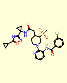 CS(=O)(=O)C1CN(c2ncccc2NC(=O)c2cccc(Cl)c2)CCC1CC(=O)NC1(c2noc(C3CC3)n2)CC1